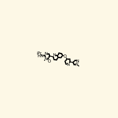 CC(C)Nc1ncc(-c2ccc3cc(Oc4ccnc(-c5cnn(C)c5)c4)ccc3n2)c(=O)n1C